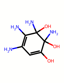 NC1=C(N)C(N)(O)C(N)(O)C(O)=C1